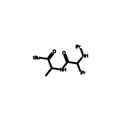 CC(C)NC(C(=O)NC(C)C(=O)C(C)(C)C)C(C)C